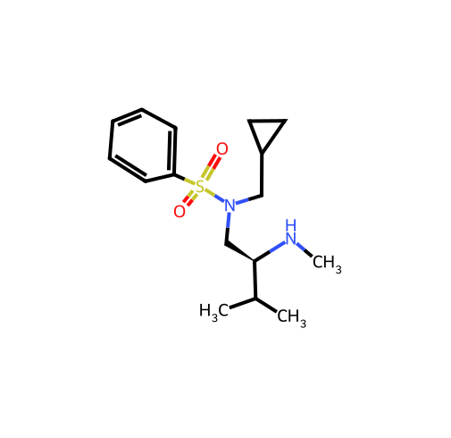 CN[C@H](CN(CC1CC1)S(=O)(=O)c1ccccc1)C(C)C